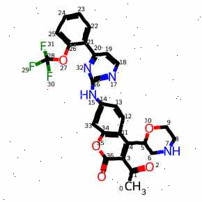 CC(=O)c1c(C2CNCCO2)c2ccc(Nc3nccc(-c4ccccc4OC(F)(F)F)n3)cc2oc1=O